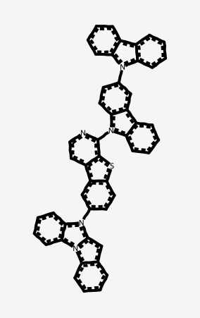 c1ccc2c(c1)cc1n(-c3ccc4sc5c(-n6c7ccccc7c7cc(-n8c9ccccc9c9ccccc98)ccc76)nccc5c4c3)c3ccccc3n21